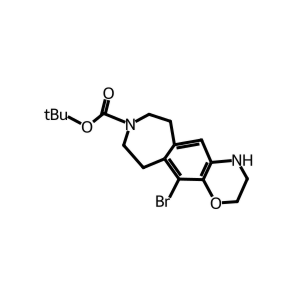 CC(C)(C)OC(=O)N1CCc2cc3c(c(Br)c2CC1)OCCN3